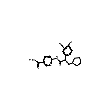 COC(=O)c1ccc(NC(=O)C(CC2CCCC2)c2ccc(Cl)c(Cl)c2)nc1